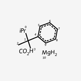 CC(C)C(C)(C(=O)O)c1ccccc1.[MgH2]